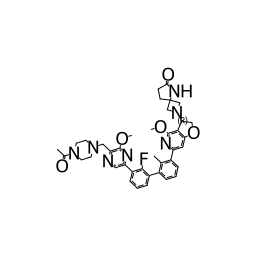 COc1nc(-c2cccc(-c3cccc(-c4cc5c(c(OC)n4)[C@@H](N4CC6(CCC(=O)N6)C4)CO5)c3C)c2F)cnc1CN1CCN(C(C)=O)CC1